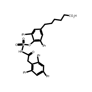 CC(C)c1cc(C(C)C)c(CC(=O)NS(=O)(=O)Oc2c(C(C)C)cc(CCCCCC(=O)O)cc2C(C)C)c(C(C)C)c1